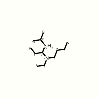 CCCCN(CC)C(CC)[SiH2]C(C)C